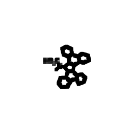 CN(C(=O)O)C1c2c(c3ccccc3c3ccccc23)-c2c1c1ccccc1c1ccccc21